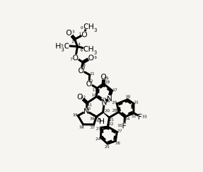 COC(=O)C(C)(C)OC(=O)OCOc1c2n(ncc1=O)[C@@H](C(c1ccccc1)c1cccc(F)c1F)[C@H]1CCCN1C2=O